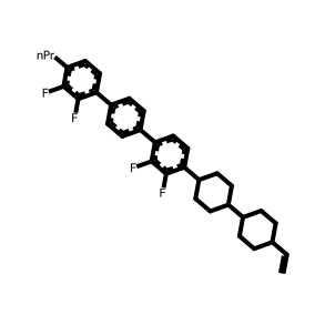 C=CC1CCC(C2CCC(c3ccc(-c4ccc(-c5ccc(CCC)c(F)c5F)cc4)c(F)c3F)CC2)CC1